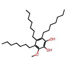 CCCCCCCc1c(O)c(O)c(OC)c(CCCCCCC)c1CCCCCCC